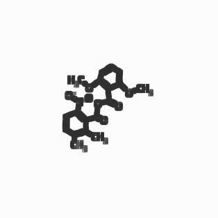 COc1cccc(OC)c1C(=O)OC(=O)c1c([N+](=O)[O-])ccc(C)c1C